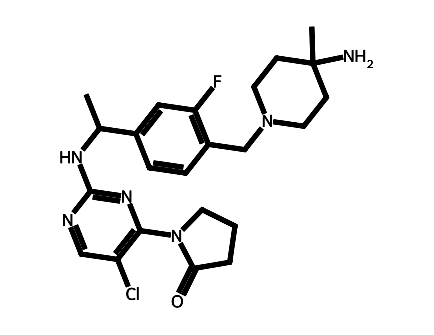 CC(Nc1ncc(Cl)c(N2CCCC2=O)n1)c1ccc(CN2CCC(C)(N)CC2)c(F)c1